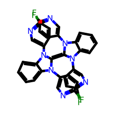 Fc1ccc(N2C(=C3N(c4ccc(F)nc4)c4ccccc4N3c3ccc(F)nc3)N(c3ccc(F)nc3)c3ccccc32)cn1